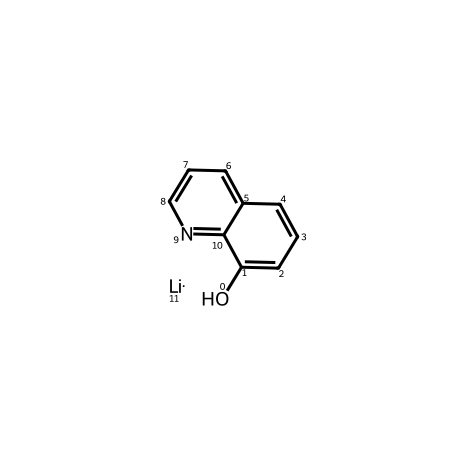 Oc1cccc2cccnc12.[Li]